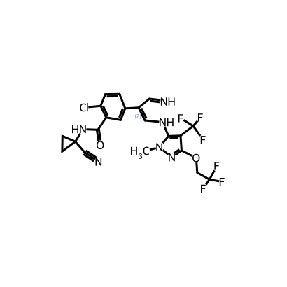 Cn1nc(OCC(F)(F)F)c(C(F)(F)F)c1N/C=C(\C=N)c1ccc(Cl)c(C(=O)NC2(C#N)CC2)c1